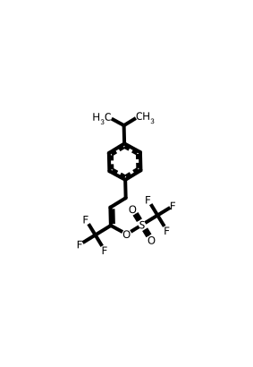 CC(C)c1ccc(CC=C(OS(=O)(=O)C(F)(F)F)C(F)(F)F)cc1